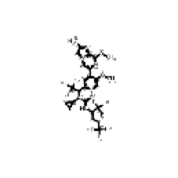 COc1cnc(C(N(C(=O)NC(CCC(F)(F)F)C(F)(F)F)C2CC2)C(F)(F)F)cc1-c1cn2cc(C)nc2c(OC)n1